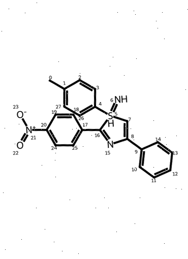 Cc1ccc([SH]2(=N)C=C(c3ccccc3)N=C2c2ccc([N+](=O)[O-])cc2)cc1